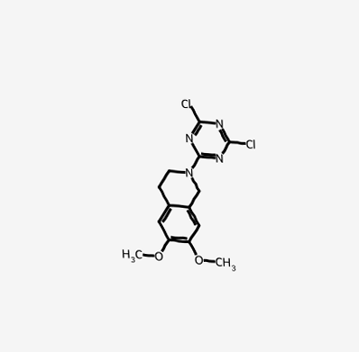 COc1cc2c(cc1OC)CN(c1nc(Cl)nc(Cl)n1)CC2